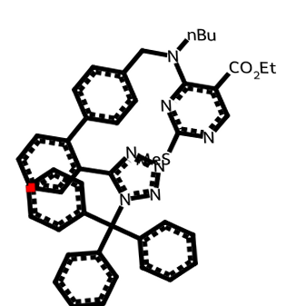 CCCCN(Cc1ccc(-c2ccccc2-c2nnnn2C(c2ccccc2)(c2ccccc2)c2ccccc2)cc1)c1nc(SC)ncc1C(=O)OCC